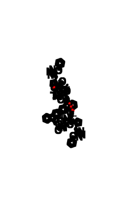 C[C@@H](OCC#CC#CCO[C@H](C)C(NC(=O)[C@H](C)N(C)C(=O)OCC1c2ccccc2-c2ccccc21)C(=O)N1CCC[C@H]1Cn1nnnc1Oc1ccccc1)C(NC(=O)[C@H](C)N(C)C(=O)OCC1c2ccccc2-c2ccccc21)C(=O)N1CCC[C@H]1Cn1nnnc1Oc1ccccc1